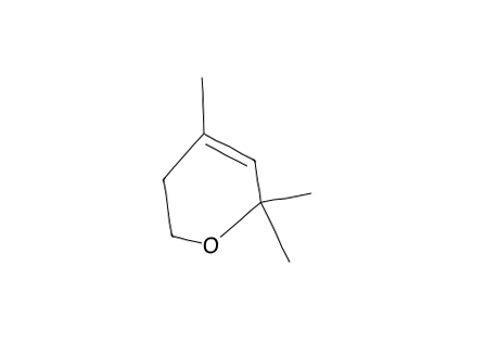 CC1=CC(C)(C)OCC1